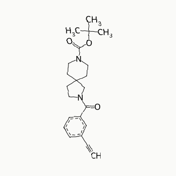 C#Cc1cccc(C(=O)N2CCC3(CCN(C(=O)OC(C)(C)C)CC3)C2)c1